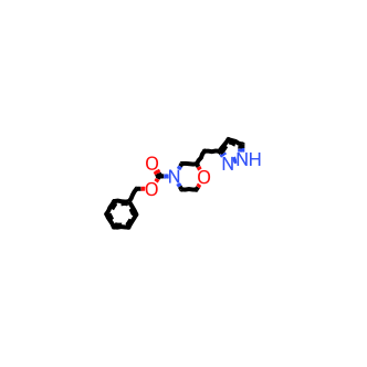 O=C(OCc1ccccc1)N1CCOC(Cc2cc[nH]n2)C1